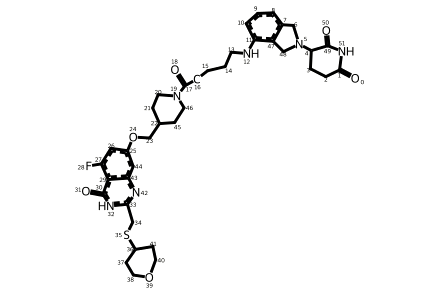 O=C1CCC(N2Cc3cccc(NCCCCC(=O)N4CCC(COc5cc(F)c6c(=O)[nH]c(CSC7CCOCC7)nc6c5)CC4)c3C2)C(=O)N1